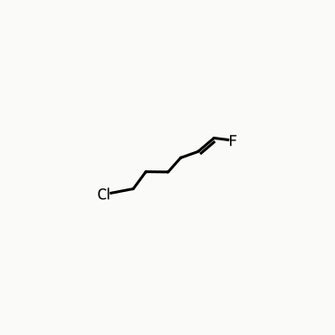 FC=CCCCCCl